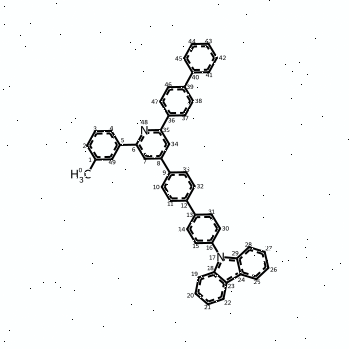 Cc1cccc(-c2cc(-c3ccc(-c4ccc(-n5c6ccccc6c6ccccc65)cc4)cc3)cc(-c3ccc(-c4ccccc4)cc3)n2)c1